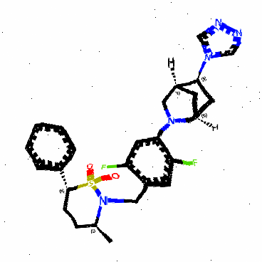 C[C@H]1CC[C@H](c2ccccc2)S(=O)(=O)N1Cc1cc(F)c(N2C[C@@H]3C[C@H]2C[C@@H]3n2cnnc2)cc1F